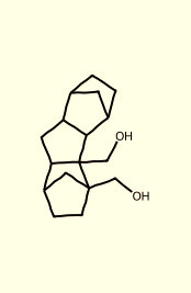 OCC12CCC(C1)C1CC3C4CCC(C4)C3C12CO